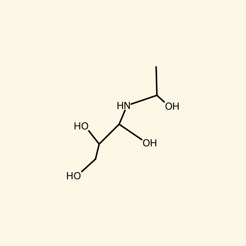 CC(O)NC(O)C(O)CO